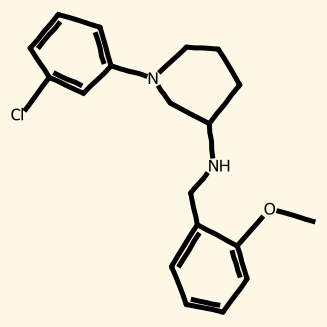 COc1ccccc1CNC1CCCN(c2cccc(Cl)c2)C1